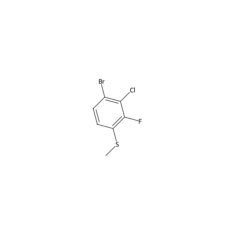 CSc1ccc(Br)c(Cl)c1F